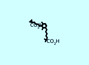 Cc1ccc(CCCCCC(C)(C)C(=O)O)c(C)c1CCCCC1(C(=O)O)CC1